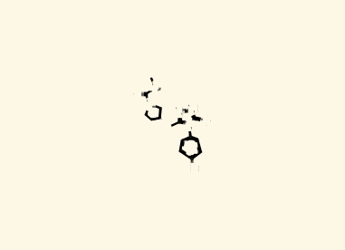 CN(C)C(=O)N1CC[C@@H](Cc2n[nH]c(=O)n2-c2ccc(Br)cc2)C1